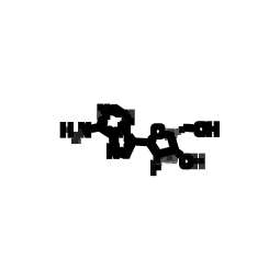 Nc1ncnn2c(C3O[C@H](CO)[C@@H](O)[C@H]3F)cnc12